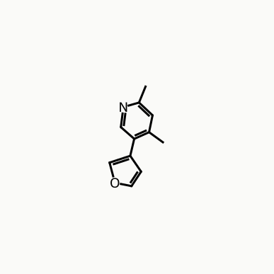 Cc1cc(C)c(-c2ccoc2)cn1